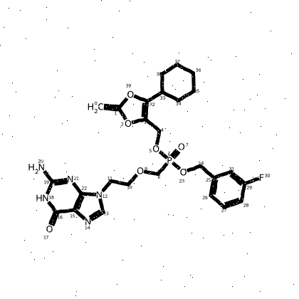 C=C1OC(COP(=O)(COCCn2cnc3c(=O)[nH]c(N)nc32)OCc2cccc(F)c2)=C(C2CCCCC2)O1